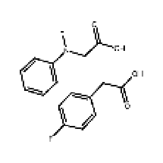 O=C(O)CN(F)c1ccccc1.O=C(O)Cc1ccc(F)cc1